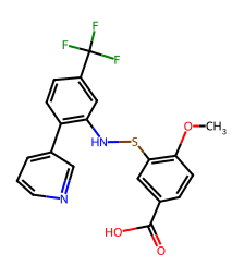 COc1ccc(C(=O)O)cc1SNc1cc(C(F)(F)F)ccc1-c1cccnc1